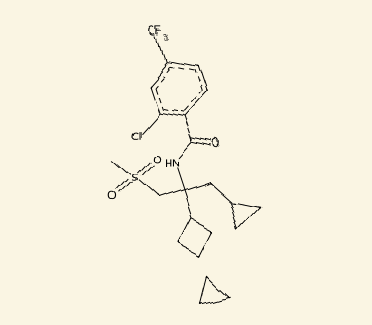 C1CC1.CS(=O)(=O)CC(CC1CC1)(NC(=O)c1ccc(C(F)(F)F)cc1Cl)C1CCC1